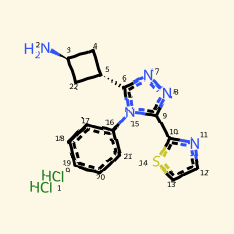 Cl.Cl.N[C@H]1C[C@H](c2nnc(-c3nccs3)n2-c2ccccc2)C1